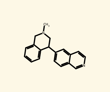 CN1Cc2ccccc2C(c2ccc3cnccc3c2)C1